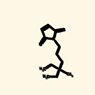 CC[Si](C)(CC)CCCN1C(=O)C=CC1=O